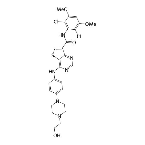 COc1cc(OC)c(Cl)c(NC(=O)c2csc3c(Nc4ccc(N5CCN(CCO)CC5)cc4)ncnc23)c1Cl